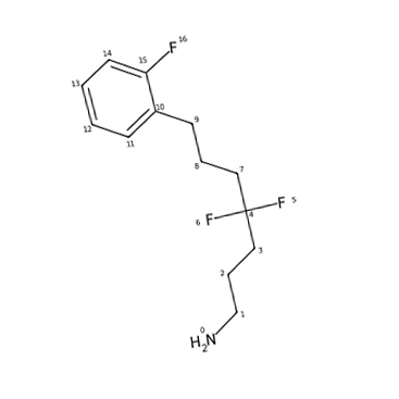 NCCCC(F)(F)CCCc1ccccc1F